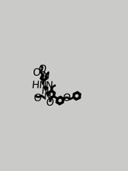 COCCn1c(=O)c(-c2cccc(OCc3ccccc3)c2)cc2c(C)nc(Nc3cc(C(=O)OC)n(C)c3)nc21